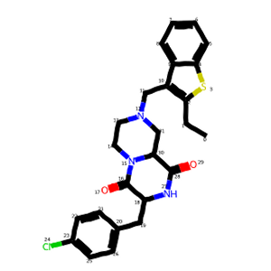 CCc1sc2ccccc2c1CN1CCN2C(=O)C(Cc3ccc(Cl)cc3)NC(=O)C2C1